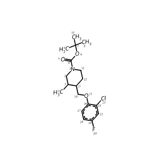 CC1CN(C(=O)OC(C)(C)C)CCC1COc1ccc(F)cc1Cl